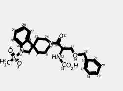 CS(=O)(=O)N1CC2(CCN(C(=O)C(COCc3ccccc3)NC(=O)O)CC2)c2ccccc21